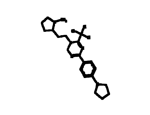 CN1CCCC1CCN1CN=C(c2ccc(N3CCCC3)cc2)N=C1C(Cl)(Cl)Cl